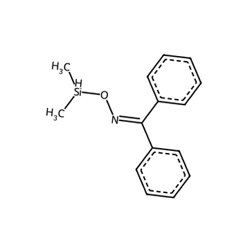 C[SiH](C)ON=C(c1ccccc1)c1ccccc1